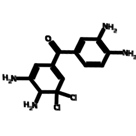 NC1=CC(C(=O)c2ccc(N)c(N)c2)=CC(Cl)(Cl)C1N